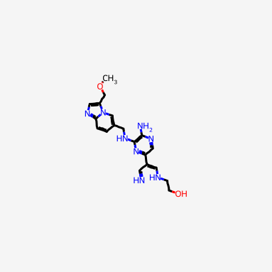 COCc1cnc2ccc(CNc3nc(/C(C=N)=C/NCCO)cnc3N)cn12